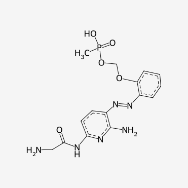 CP(=O)(O)OCOc1ccccc1/N=N/c1ccc(NC(=O)CN)nc1N